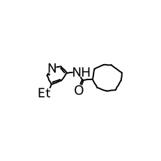 CCc1cncc(NC(=O)C2CCCCCCCC2)c1